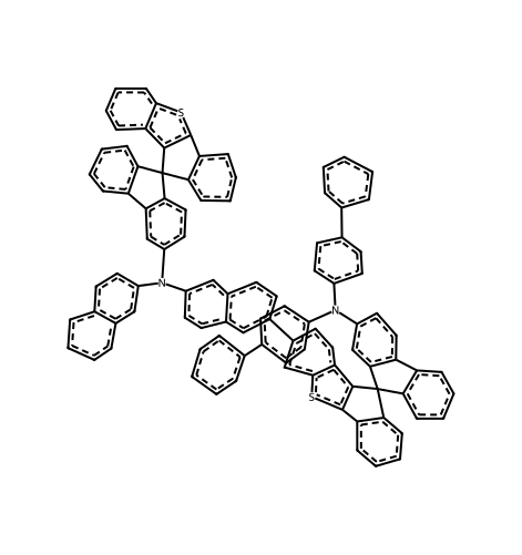 c1ccc(-c2ccc(N(c3ccc(-c4ccccc4)cc3)c3ccc4c(c3)C3(c5ccccc5-4)c4ccccc4-c4sc5cc(-c6ccc7cc(N(c8ccc9c(c8)-c8ccccc8C98c9ccccc9-c9sc%10ccccc%10c98)c8ccc9ccccc9c8)ccc7c6)ccc5c43)cc2)cc1